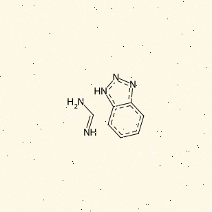 N=CN.c1ccc2[nH]nnc2c1